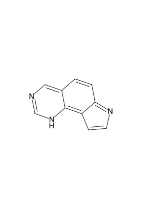 c1cc2c(ccc3cnc[nH]c32)n1